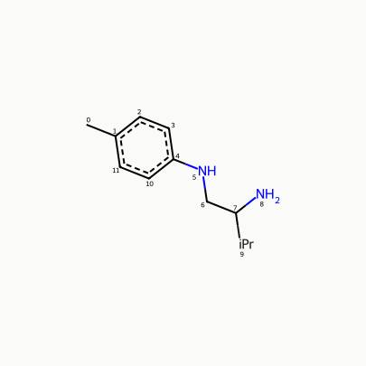 Cc1ccc(NCC(N)C(C)C)cc1